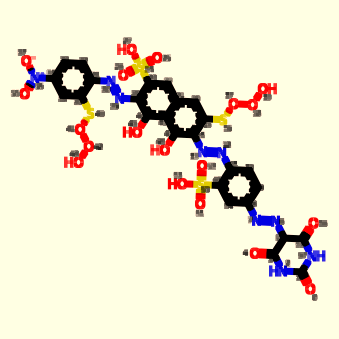 O=C1NC(=O)C(/N=N/c2ccc(/N=N/c3c(SOOO)cc4cc(S(=O)(=O)O)c(/N=N/c5ccc([N+](=O)[O-])cc5SOOO)c(O)c4c3O)c(S(=O)(=O)O)c2)C(=O)N1